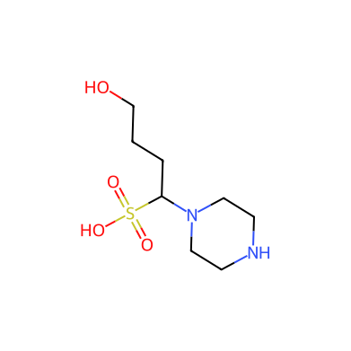 O=S(=O)(O)C(CCCO)N1CCNCC1